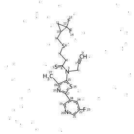 C#CCN(C(=S)CCSCC1CC1(F)F)c1sc(-c2cncc(F)c2)nc1C